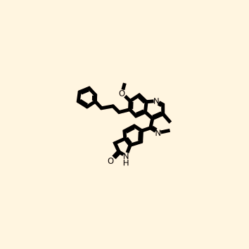 C/N=C(/c1ccc2c(c1)NC(=O)C2)c1c(C)cnc2cc(OC)c(CCCc3ccccc3)cc12